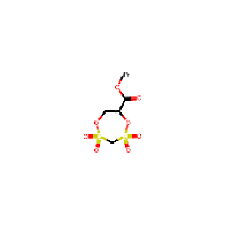 CC(C)OC(=O)C1COS(=O)(=O)CS(=O)(=O)O1